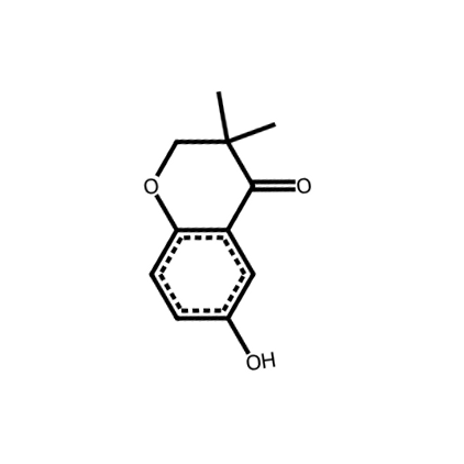 CC1(C)COc2ccc(O)cc2C1=O